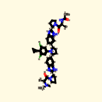 COC(=O)N[C@H](C(=O)N1CCC[C@H]1c1nc2ccc([C@H]3CC[C@H](c4ccc5nc([C@@H]6CCCN6C(=O)[C@H](C(C)C)N(C)C(=O)O)[nH]c5c4)N3c3cc(F)c(C4CC4)c(F)c3)cc2[nH]1)C(C)C